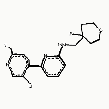 Fc1cc(-c2cccc(NCC3(F)CCOCC3)n2)c(Cl)cn1